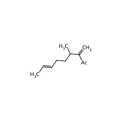 C=C(C(C)=O)C(C)CCC=CC